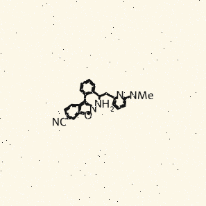 CNc1cccc(CC(N)c2ccccc2-c2noc3cc(C#N)ccc23)n1